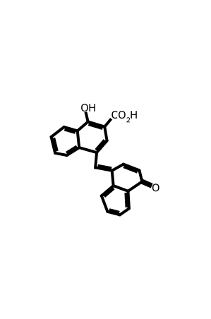 O=C1C=CC(=Cc2cc(C(=O)O)c(O)c3ccccc23)c2ccccc21